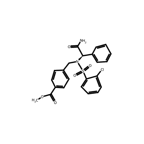 COC(=O)c1ccc(CN([C@@H](C(N)=O)c2ccccc2)S(=O)(=O)c2ccccc2Cl)cc1